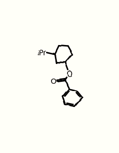 CC(C)C1CCCC(OC(=O)c2ccccc2)C1